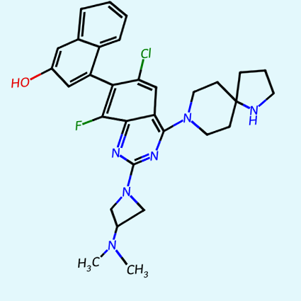 CN(C)C1CN(c2nc(N3CCC4(CCCN4)CC3)c3cc(Cl)c(-c4cc(O)cc5ccccc45)c(F)c3n2)C1